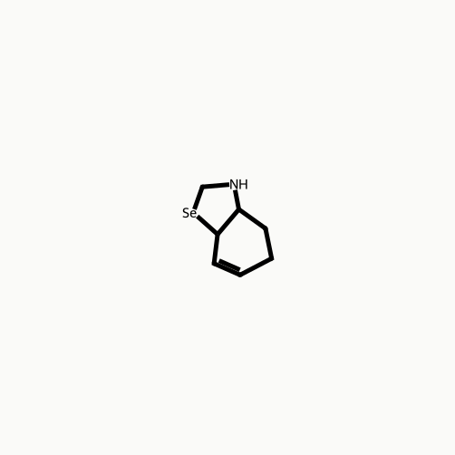 C1=CC2[Se]CNC2CC1